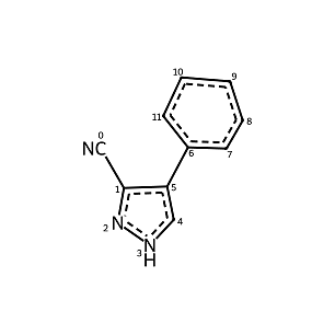 N#Cc1n[nH]cc1-c1ccccc1